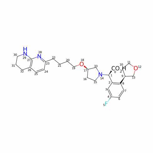 O=C(O)[C@@H](c1cc(F)ccc1[C@H]1CCOC1)N1CC[C@@H](OCCCCc2ccc3c(n2)NCCC3)C1